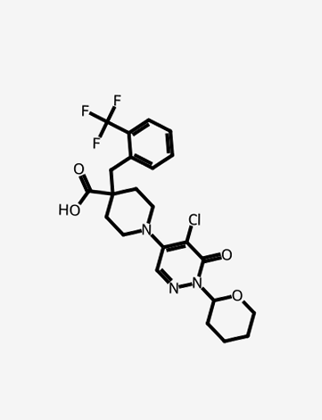 O=C(O)C1(Cc2ccccc2C(F)(F)F)CCN(c2cnn(C3CCCCO3)c(=O)c2Cl)CC1